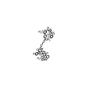 CNC(C)C(=O)NC(C(=O)N1CCN(C(=O)c2c(C(=O)NCCOCCOCC(=O)N3CCN(c4cc(Nc5ncc(C(=O)Nc6c(C)cccc6Cl)s5)nc(C)n4)CC3)c3cc(F)ccc3n2C)CC1)C1CCCCC1